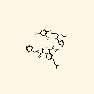 CCCN(CCOc1c(Cl)cc(Cl)cc1Cl)C(=O)n1ccnc1.CON(C)C(=O)c1cc(OCC(C)C)ccc1NC(=O)OCc1ccccc1